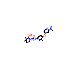 CNc1cc(Oc2ccc(NC(=O)N3CCC(C)(C)C3O)nc2C)ccn1